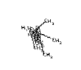 CCCCCCCCCCN(CC(N)=O)C(=O)CN(CC(=O)OCCCCCCCC)C(=O)CN(CCCCCCCCCC)C(=O)CN(CC(=O)OCCCCCCCC)C(=O)CN(CC)CCO